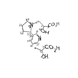 CC(O)C(=O)O.CC(O)C(=O)O.CN1CCCC1c1cccnc1